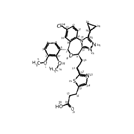 COc1cccc([C@H]2O[C@H](CCc3ncc(CCC(=O)O)s3)c3nnc(C4CC4)n3-c3ccc(Cl)cc32)c1OC